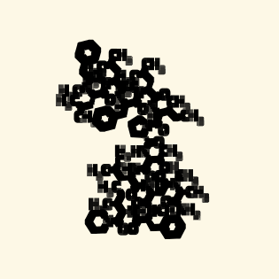 CC[C@H](C)[C@H](NC(=O)[C@H](Cc1ccccc1)N(C)C(=O)[C@H](CC(=O)N(C)[C@@H](C)C(N)=O)NC(=O)[C@@H](CC(C)C)NC(=O)[C@H](NC(=O)[C@@H]1CCCN1C(=O)[C@@H](NC(=O)[C@H](CC(C)C)N(C)C(=O)[C@@H](Cc1ccccc1)NC(=O)[C@H](CC(C)C)N(C)C(=O)[C@H](CC(C)C)N(C)C(=O)Cc1ccccc1)[C@@H](C)CC)[C@@H](C)O)C(=O)N1CCCCC1